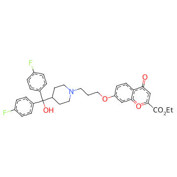 CCOC(=O)c1cc(=O)c2ccc(OCCCN3CCC(C(O)(c4ccc(F)cc4)c4ccc(F)cc4)CC3)cc2o1